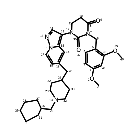 COc1ccc(CN2C(=O)CCN(c3cnn4ccc(CC5CCN(CC6CCCCC6)CC5)cc34)C2=O)c(OC)c1